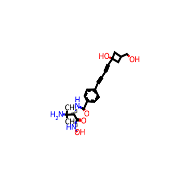 CC(C)(N)[C@H](NC(=O)c1ccc(C#CC#CC2(O)CC(CO)C2)cc1)C(=O)NO